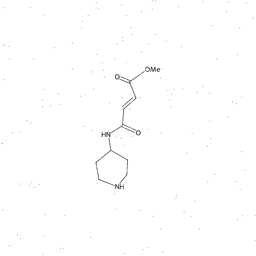 COC(=O)/C=C/C(=O)NC1CCNCC1